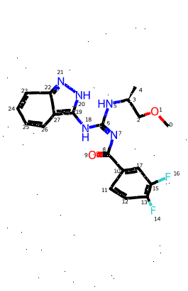 COC[C@H](C)N/C(=N/C(=O)c1ccc(F)c(F)c1)Nc1[nH]nc2ccccc12